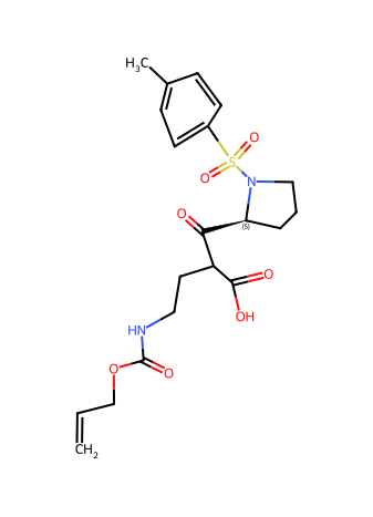 C=CCOC(=O)NCCC(C(=O)O)C(=O)[C@@H]1CCCN1S(=O)(=O)c1ccc(C)cc1